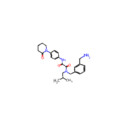 CC(C)CN(Cc1cccc(CN)c1)C(=O)C(=O)Nc1ccc(N2CCCCC2=O)cc1